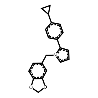 c1cc(-c2ccc(C3CC3)cc2)n(Cc2ccc3c(c2)OCO3)c1